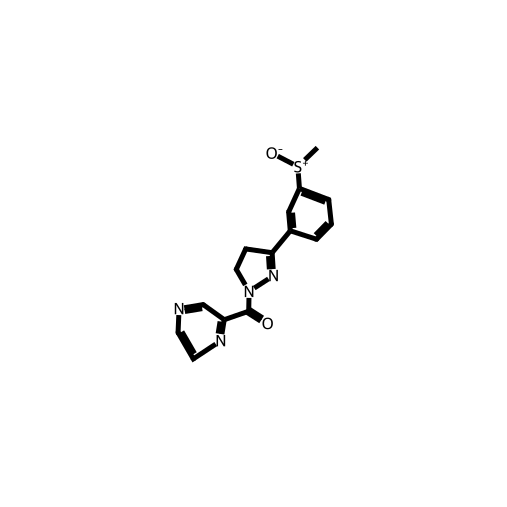 C[S+]([O-])c1cccc(C2=NN(C(=O)c3cnccn3)CC2)c1